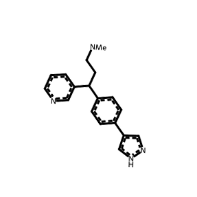 CNCCC(c1ccc(-c2cn[nH]c2)cc1)c1cccnc1